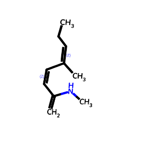 C=C(/C=C\C(C)=C/CC)NC